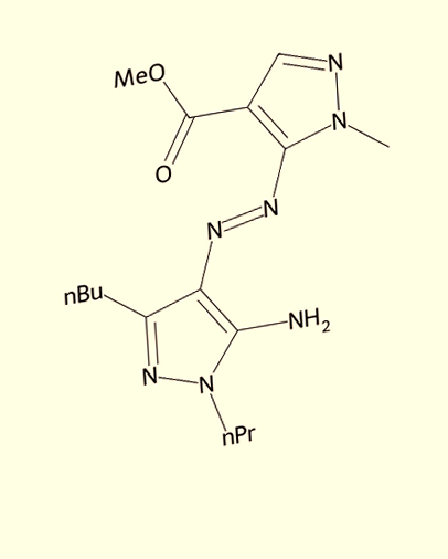 CCCCc1nn(CCC)c(N)c1N=Nc1c(C(=O)OC)cnn1C